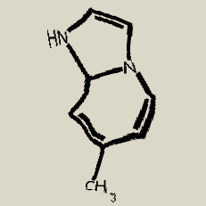 CC1=CC2NC=CN2C=C1